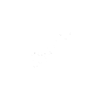 N[C@@H](CC[Se]C[C@H]1O[C@@H](n2cnc3cncnc32)[C@H](O)[C@@H]1O)C(=O)O